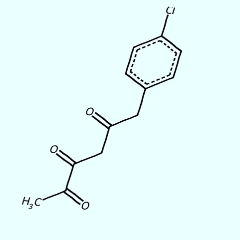 CC(=O)C(=O)CC(=O)Cc1ccc(Cl)cc1